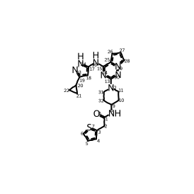 O=C(Cc1cccs1)NC1CCN(c2nc(Nc3cc(C4CC4)n[nH]3)c3cccn3n2)CC1